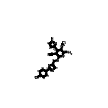 [C-]#[N+]c1c(N)nc(SCc2csc(-c3ccc(Cl)cc3)n2)c(C#N)c1-c1cc[nH]n1